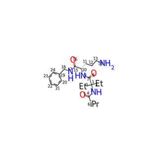 CCC(CC)(NC(=O)C(C)C)C(=O)N[C@@H](CCCN)C(=O)NCc1ccccc1